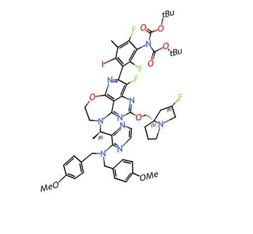 COc1ccc(CN(Cc2ccc(OC)cc2)c2nccnc2[C@@H](C)N2CCOc3nc(-c4c(F)c(N(C(=O)OC(C)(C)C)C(=O)OC(C)(C)C)c(F)c(C)c4I)c(F)c4nc(OC[C@@]56CCCN5C[C@H](F)C6)nc2c34)cc1